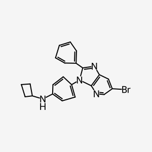 Brc1cnc2c(c1)nc(-c1ccccc1)n2-c1ccc(NC2CCC2)cc1